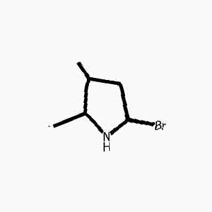 [CH2]C1NC(Br)CC1C